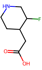 O=C(O)CC1CCNCC1F